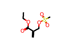 C=C(COS(C)(=O)=O)C(=O)OCC